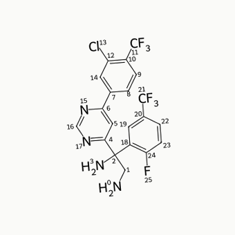 NCC(N)(c1cc(-c2ccc(C(F)(F)F)c(Cl)c2)ncn1)c1cc(C(F)(F)F)ccc1F